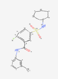 O=C(Nc1cccc(C(F)(F)F)c1)c1cc(S(=O)(=O)NC2CCCCC2)ccc1F